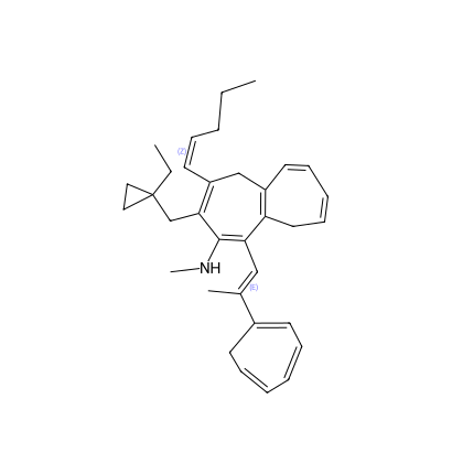 CCC/C=C\C1=C(CC2(CC)CC2)C(NC)=C(/C=C(\C)C2=CC=CC=CC2)C2=C(C=CC=CC2)C1